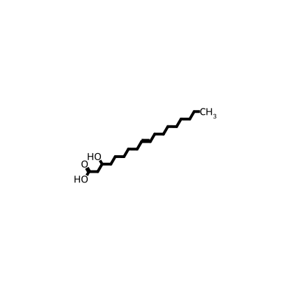 CCCCCCCC/C=C/CCCCCC(O)CC(=O)O